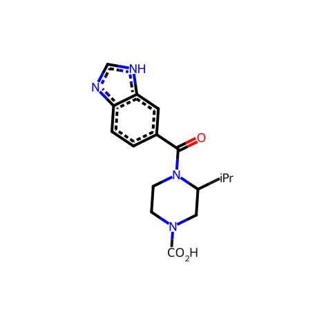 CC(C)C1CN(C(=O)O)CCN1C(=O)c1ccc2nc[nH]c2c1